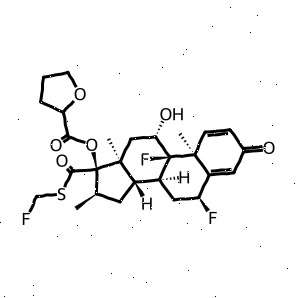 C[C@@H]1C[C@H]2[C@@H]3C[C@H](F)C4=CC(=O)C=C[C@]4(C)[C@@]3(F)[C@@H](O)C[C@]2(C)[C@@]1(OC(=O)C1CCCO1)C(=O)SCF